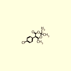 CC1=C(c2ccc(Cl)cc2)C(=O)OC(C)(C)O1